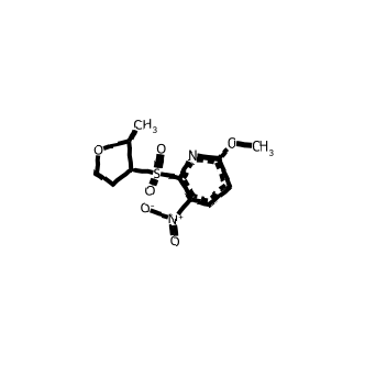 COc1ccc([N+](=O)[O-])c(S(=O)(=O)C2CCOC2C)n1